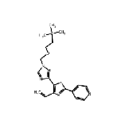 C=Cc1nc(-c2ccncc2)sc1-c1ncn(COCC[Si](C)(C)C)n1